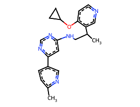 Cc1ccc(-c2cc(NCC(C)c3cnccc3OC3CC3)ncn2)cn1